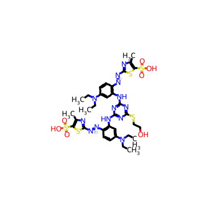 CCN(CC)c1ccc(/N=N/c2nc(C)c(S(=O)(=O)O)s2)c(Nc2nc(Nc3cc(N(CC)CC)ccc3/N=N/c3nc(C)c(S(=O)(=O)O)s3)nc(SCCO)n2)c1